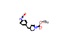 CC(C)(C)OC(=O)N1CCC(Cc2ccc(N=C=O)cc2)CC1